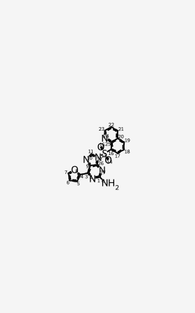 Nc1nc(-c2ccco2)c2ncn(S(=O)(=O)c3cccc4cccnc34)c2n1